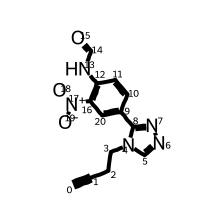 C#CCCn1cnnc1-c1ccc(NC=O)c([N+](=O)[O-])c1